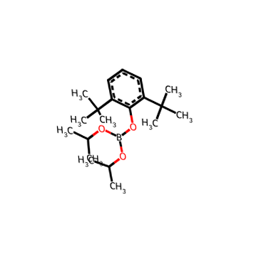 CC(C)OB(Oc1c(C(C)(C)C)cccc1C(C)(C)C)OC(C)C